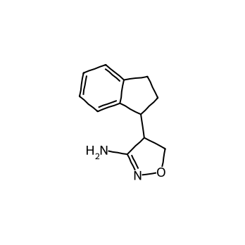 NC1=NOCC1C1CCc2ccccc21